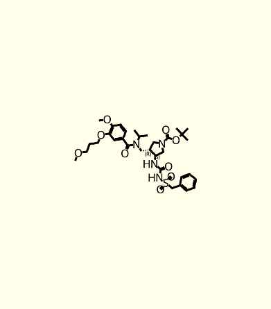 COCCCOc1cc(C(=O)N(C[C@@H]2CN(C(=O)OC(C)(C)C)C[C@H]2NC(=O)NS(=O)(=O)Cc2ccccc2)C(C)C)ccc1OC